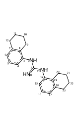 N=C(Nc1cccc2c1CCCC2)Nc1cccc2c1CCCC2